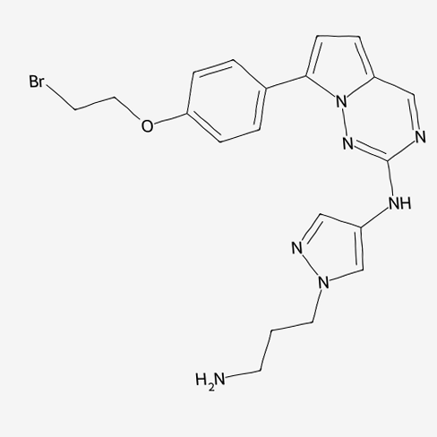 NCCCn1cc(Nc2ncc3ccc(-c4ccc(OCCBr)cc4)n3n2)cn1